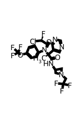 C[C@](C(=O)NC1CN(CC(F)(F)F)C1)(c1cncnc1)N(C(=O)[C@H](F)Cl)c1ccc(OC(F)(F)F)cc1